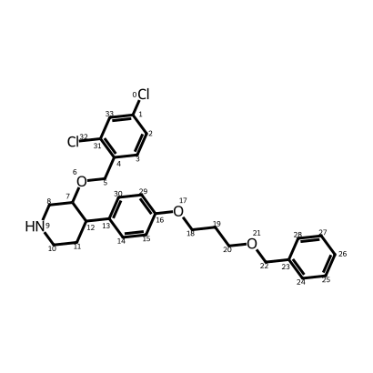 Clc1ccc(COC2CNCCC2c2ccc(OCCCOCc3ccccc3)cc2)c(Cl)c1